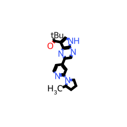 CC1CCCN1c1cc(-c2cnc3[nH]cc(C(=O)C(C)(C)C)c3n2)ccn1